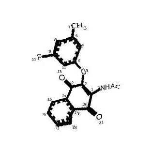 CC(=O)NC1=C(Oc2cc(C)cc(F)c2)C(=O)c2ccccc2C1=O